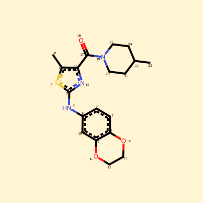 Cc1sc(Nc2ccc3c(c2)OCCO3)nc1C(=O)N1CCC(C)CC1